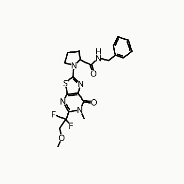 COCC(F)(F)c1nc2sc(N3CCCC3C(=O)NCc3ccccc3)nc2c(=O)n1C